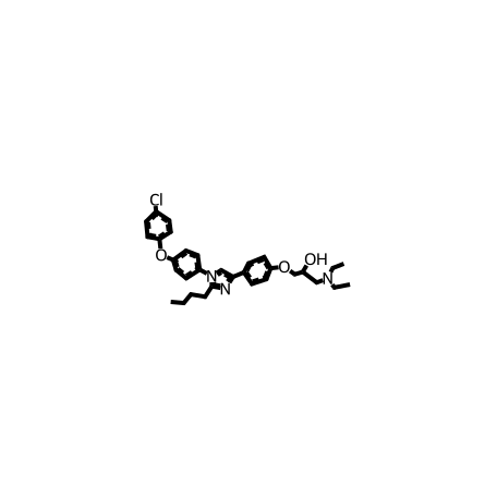 CCCCc1nc(-c2ccc(OCC(O)CN(CC)CC)cc2)cn1-c1ccc(Oc2ccc(Cl)cc2)cc1